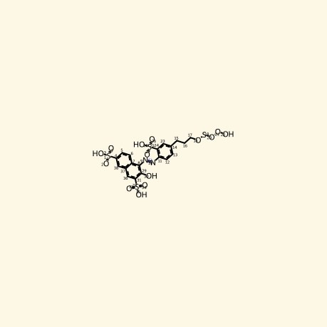 O=S(=O)(O)c1ccc2c(/N=N/c3ccc(CCCOSOOO)cc3S(=O)(=O)O)c(O)c(S(=O)(=O)O)cc2c1